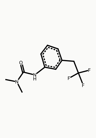 CN(C)C(=O)Nc1cccc(CC(F)(F)F)c1